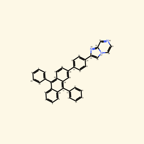 c1ccc(-c2c3ccccc3c(-c3ccccc3)c3cc(-c4ccc(-c5cn6ccncc6n5)cc4)ccc23)cc1